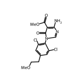 COCCc1cc(Cl)c(-n2cnc(N)c(C(=O)OC)c2=O)c(Cl)c1